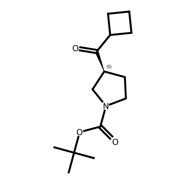 CC(C)(C)OC(=O)N1CC[C@H](C(=O)C2CCC2)C1